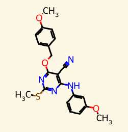 COc1ccc(COc2nc(SC)nc(Nc3cccc(OC)c3)c2C#N)cc1